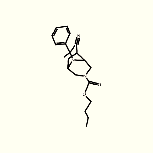 CCCCOC(=O)N1CC2CC(C#N)C(C1)N2C(C)(C)c1ccccc1